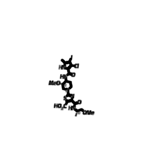 COC[C@H](C)NC(=O)c1nc(N2CCC(NC(=O)c3[nH]c(C)c(I)c3Cl)[C@@H](OC)C2)sc1C(=O)O